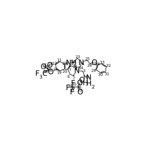 NC(=O)CN1CCc2c([nH]c3ccc(OS(=O)(=O)C(F)(F)F)cc23)C12CCN(CCOc1ccccc1)C2.O=C(O)C(F)(F)F